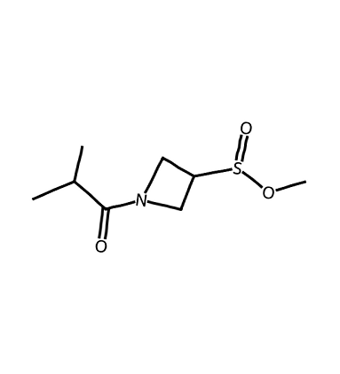 COS(=O)C1CN(C(=O)C(C)C)C1